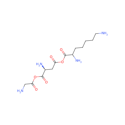 NCCCCCC(N)C(=O)OC(=O)C[C@H](N)C(=O)OC(=O)CN